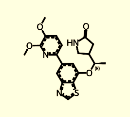 COc1ccc(-c2cc(O[C@H](C)C3CNC(=O)C3)c3scnc3c2)nc1OC